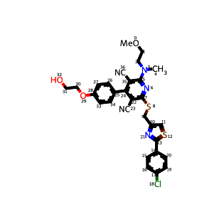 COCCN(C)c1nc(SCc2csc(-c3ccc(Cl)cc3)n2)c(C#N)c(-c2ccc(OCCO)cc2)c1C#N